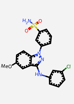 COc1ccc2c(c1)c(Nc1cccc(Cl)c1)nn2-c1cccc(S(N)(=O)=O)c1